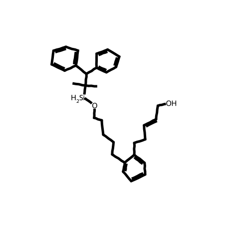 CC(C)([SiH2]OCCCCCc1ccccc1CC/C=C/CO)C(c1ccccc1)c1ccccc1